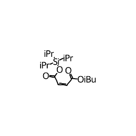 CC(C)COC(=O)/C=C\C(=O)O[Si](C(C)C)(C(C)C)C(C)C